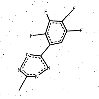 Cc1nnc(-c2cc(F)c(F)c(F)c2F)nn1